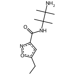 CCc1cc(C(=O)NC(C)(C)C(C)(C)N)no1